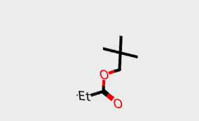 C[CH]C(=O)OCC(C)(C)C